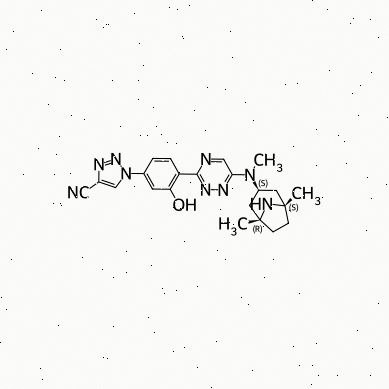 CN(c1cnc(-c2ccc(-n3cc(C#N)nn3)cc2O)nn1)[C@H]1C[C@]2(C)CC[C@](C)(C1)N2